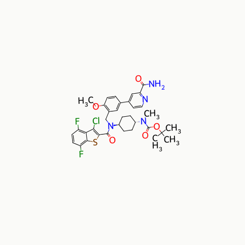 COc1ccc(-c2ccnc(C(N)=O)c2)cc1CN(C(=O)c1sc2c(F)ccc(F)c2c1Cl)[C@H]1CC[C@H](N(C)C(=O)OC(C)(C)C)CC1